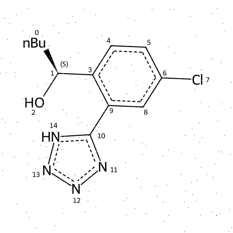 CCCC[C@H](O)c1ccc(Cl)cc1-c1nnn[nH]1